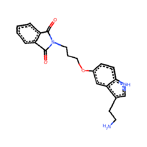 NCCc1c[nH]c2ccc(OCCCN3C(=O)c4ccccc4C3=O)cc12